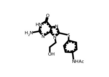 CC(=O)Nc1ccc(Sc2nc3c(=O)[nH]c(N)nc3n2CCO)cc1